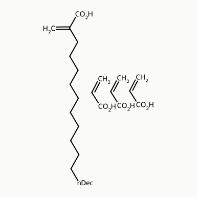 C=C(CCCCCCCCCCCCCCCCCCCC)C(=O)O.C=CC(=O)O.C=CC(=O)O.C=CC(=O)O